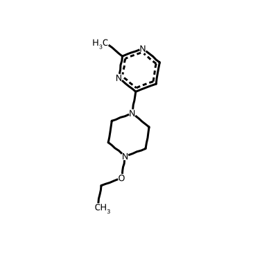 CCON1CCN(c2ccnc(C)n2)CC1